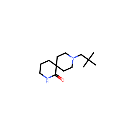 CC(C)(C)CN1CCC2(CCCNC2=O)CC1